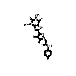 CCCn1c(=O)c2[nH]c(-c3nn(CC(=O)Nc4ccc(Cl)cc4)c(C)c3I)nc2n(CCC)c1=O